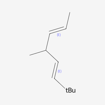 C/C=C/C(C)/C=C/C(C)(C)C